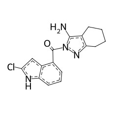 Nc1c2c(nn1C(=O)c1cccc3[nH]c(Cl)cc13)CCCC2